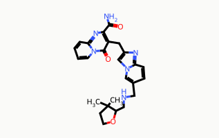 CC1(C)CCOC1CNCc1ccc2nc(Cc3c(C(N)=O)nc4ccccn4c3=O)cn2c1